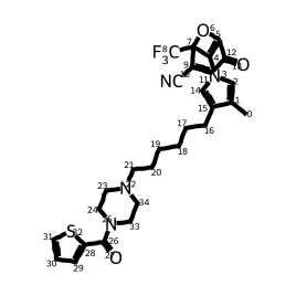 Cc1cn(C2=C3OC2(C(F)(F)F)C(C#N)=CC3=O)cc1CCCCCCN1CCN(C(=O)c2cccs2)CC1